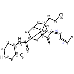 C=C(/C=C\C=C/C)[C@]12CC3CC(C(=O)N[C@@H]4CCNC[C@H]4O)(C[C@](CCCl)(C3)C1)C2